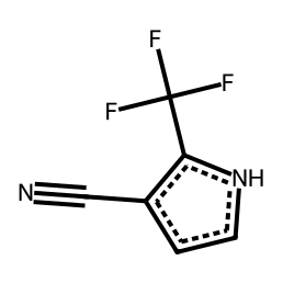 N#Cc1cc[nH]c1C(F)(F)F